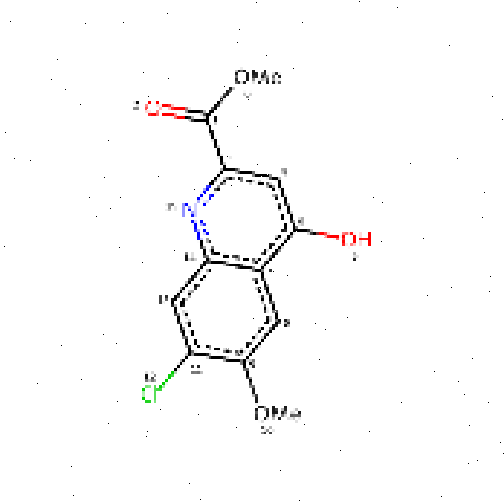 COC(=O)c1cc(O)c2cc(OC)c(Cl)cc2n1